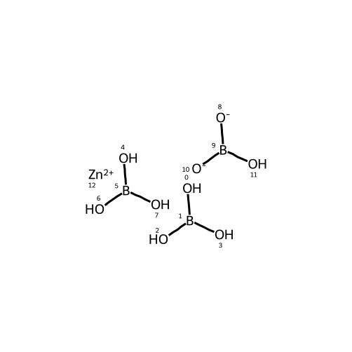 OB(O)O.OB(O)O.[O-]B([O-])O.[Zn+2]